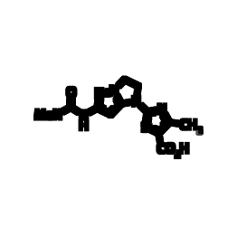 CNC(=O)Nc1cc2n(n1)CCN2c1nc(C)c(C(=O)O)s1